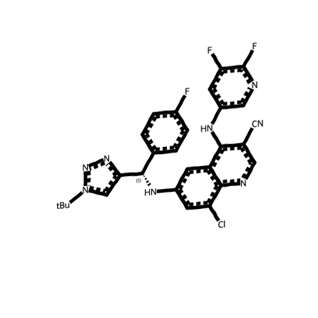 CC(C)(C)n1cc([C@@H](Nc2cc(Cl)c3ncc(C#N)c(Nc4cnc(F)c(F)c4)c3c2)c2ccc(F)cc2)nn1